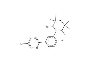 CC1=C(c2cc(-c3ncc(Cl)cn3)ccc2C)C(=O)C(C)(C)OC1(C)C